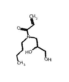 C=CC(=O)N(CCCC)CC(O)CO